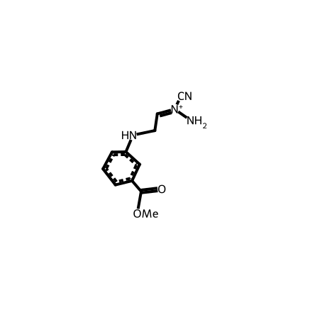 COC(=O)c1cccc(NCC=[N+](N)C#N)c1